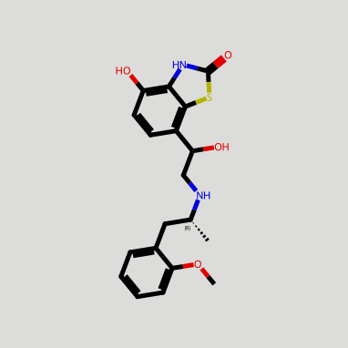 COc1ccccc1C[C@@H](C)NCC(O)c1ccc(O)c2[nH]c(=O)sc12